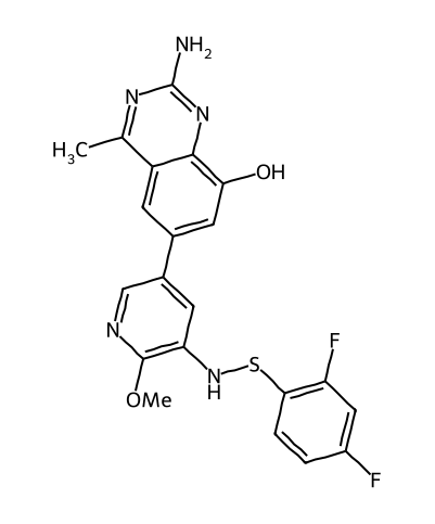 COc1ncc(-c2cc(O)c3nc(N)nc(C)c3c2)cc1NSc1ccc(F)cc1F